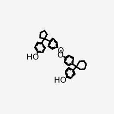 Oc1ccc(C2(c3ccc(OOc4ccc(C5(c6ccc(O)cc6)CCCC5)cc4)cc3)CCCCC2)cc1